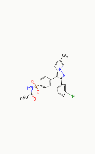 CCCCC(=O)NS(=O)(=O)c1ccc(-c2c(-c3cccc(F)c3)nn3cc(C(F)(F)F)ccc23)cc1